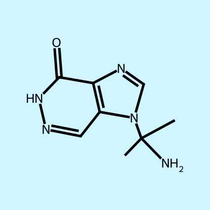 CC(C)(N)n1cnc2c(=O)[nH]ncc21